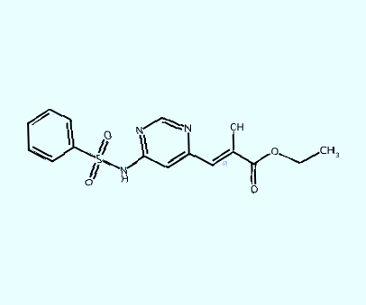 CCOC(=O)/C(O)=C/c1cc(NS(=O)(=O)c2ccccc2)ncn1